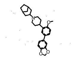 COc1ccc(-c2ccc3c(c2)OCO3)cc1C1CCN(C2CC3CCC(C3)C2)CC1